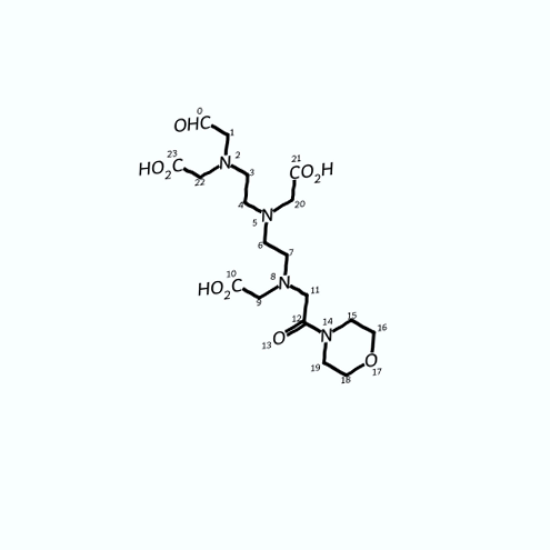 O=CCN(CCN(CCN(CC(=O)O)CC(=O)N1CCOCC1)CC(=O)O)CC(=O)O